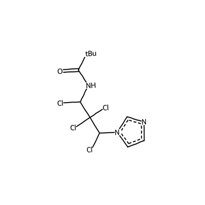 CC(C)(C)C(=O)NC(Cl)C(Cl)(Cl)C(Cl)n1ccnc1